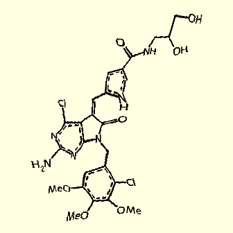 COc1cc(CN2C(=O)C(=Cc3cc(C(=O)NCC(O)CO)c[nH]3)c3c(Cl)nc(N)nc32)c(Cl)c(OC)c1OC